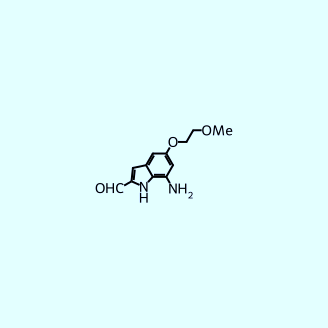 COCCOc1cc(N)c2[nH]c(C=O)cc2c1